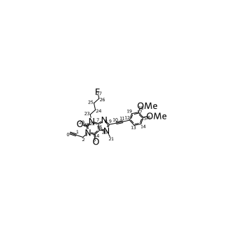 C#CCn1c(=O)c2c(nc(C#Cc3ccc(OC)c(OC)c3)n2C)n(CCCCF)c1=O